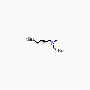 CN(C/C=C/CC(C)(C)C)CC(C)(C)C